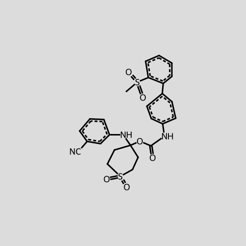 CS(=O)(=O)c1ccccc1-c1ccc(NC(=O)OC2(Nc3cccc(C#N)c3)CCS(=O)(=O)CC2)cc1